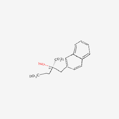 CCOC(=O)C[C@@](O)(Cc1ccc2ccccc2c1)C(=O)OCC